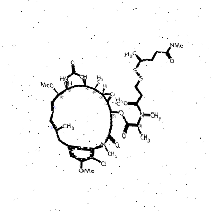 CNC(=O)CCC(C)SSCCC(=O)N(C)[C@@H](C)C(=O)O[C@H]1CC(=O)N(C)c2cc(cc(OC)c2Cl)C/C(C)=C/C=C/[C@@H](OC)[C@@]2(O)C[C@H](OC(=O)N2)[C@@H](C)[C@@H]2O[C@@]12C